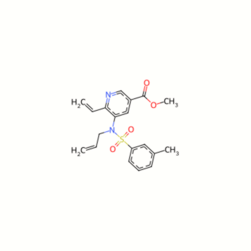 C=CCN(c1cc(C(=O)OC)cnc1C=C)S(=O)(=O)c1cccc(C)c1